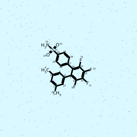 Cc1cc(C)cc(-c2c(F)c(F)c(F)c(F)c2-c2ccc(S(N)(=O)=O)cc2)c1